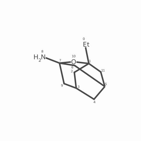 CCC12CC3CC(CC(N)(C3)O1)C2